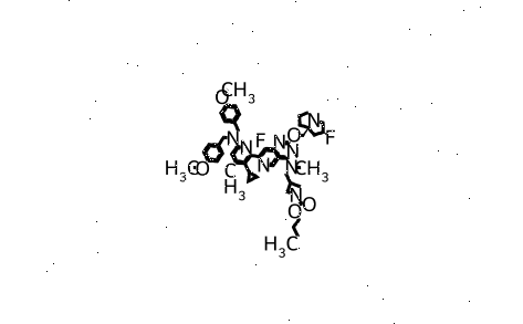 CCCCOC(=O)N1CC(CN(C)c2nc(OC[C@@]34CCCN3C[C@H](F)C4)nc3c(F)c(-c4nc(N(Cc5ccc(OC)cc5)Cc5ccc(OC)cc5)cc(C)c4C4CC4)ncc23)C1